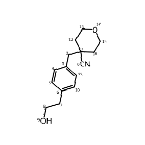 N#CC1(Cc2ccc(CCO)cc2)CCOCC1